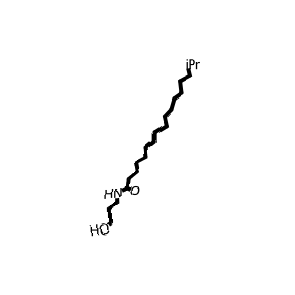 CC(C)CCCCCCCCCCCCCCC(=O)NCCCO